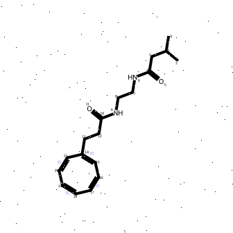 CC(C)CC(=O)NCCNC(=O)CCC1=C/C=C\C=C/C=C\1